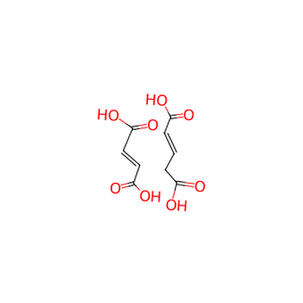 O=C(O)C=CC(=O)O.O=C(O)C=CCC(=O)O